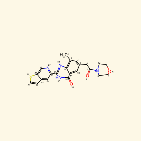 Cc1cc(CC(=O)N2CCOCC2)cc2c(=O)[nH]c(-c3cc4ccsc4cn3)nc12